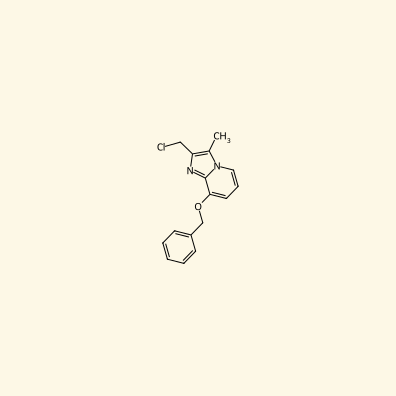 Cc1c(CCl)nc2c(OCc3ccccc3)cccn12